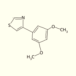 COc1cc(OC)cc(-c2cs[c]n2)c1